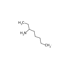 [CH2]CCCCC(N)CC